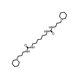 O=C(NCCCCCCNC(=O)NCCCN1CCCCC1)NCCCN1CCCCC1